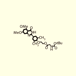 COc1cc(OC)c2c(=O)[nH]c(-c3cc(C)c(OCCOC(=O)CNC(=O)OC(C)(C)C)c(C)c3)nc2c1